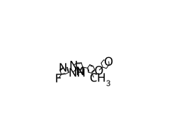 Cc1cc(-c2ccnc(Nc3cncc(F)c3)n2)ccc1OC1CCOCC1